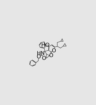 O=C(NC(c1ccccc1)(c1c(O)cc(C(CC2CC2)CC2CC2)oc1=O)C1CC1)OCc1ccccc1